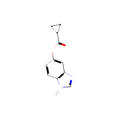 Cn1cnc2cc(OC(=O)C3CC3)ccc21